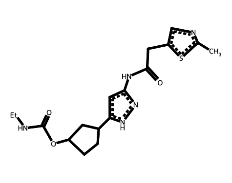 CCNC(=O)OC1CCC(c2cc(NC(=O)Cc3cnc(C)s3)n[nH]2)C1